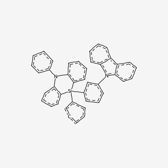 c1ccc(N2c3ccccc3[Si](c3ccccc3)(c3cccc(-n4c5ccccc5c5ccccc54)c3)c3ccccc32)cc1